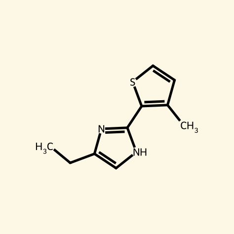 CCc1c[nH]c(-c2sccc2C)n1